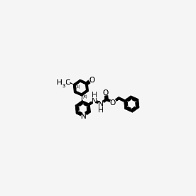 C[C@@H]1CC(=O)C[C@H](c2ccncc2NNC(=O)OCc2ccccc2)C1